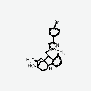 C=C1C[C@]23C[C@@]1(O)CC[C@H]2c1cccc(C)c1[C@@H]3Cn1cc(-c2ccc(Br)cc2)nn1